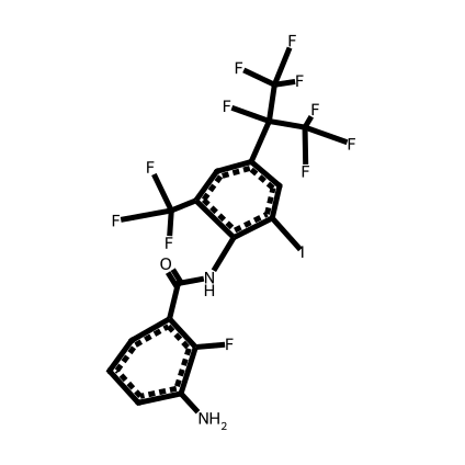 Nc1cccc(C(=O)Nc2c(I)cc(C(F)(C(F)(F)F)C(F)(F)F)cc2C(F)(F)F)c1F